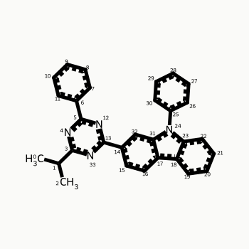 CC(C)c1nc(-c2ccccc2)nc(-c2ccc3c4ccccc4n(-c4ccccc4)c3c2)n1